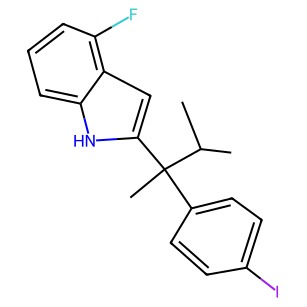 CC(C)C(C)(c1ccc(I)cc1)c1cc2c(F)cccc2[nH]1